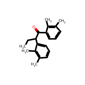 CCC(C(=O)c1cccc(C)c1C)c1cccc(C)c1C